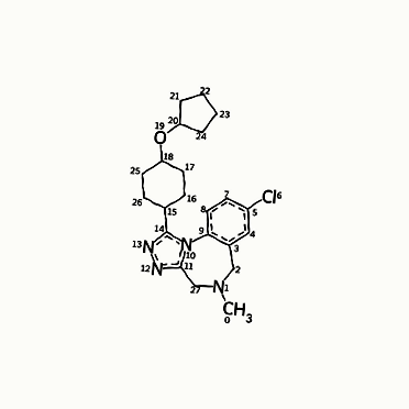 CN1Cc2cc(Cl)ccc2-n2c(nnc2C2CCC(OC3CCCC3)CC2)C1